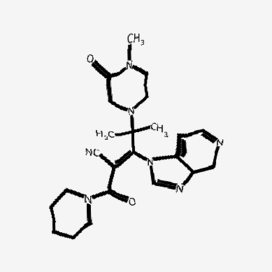 CN1CCN(C(C)(C)C(=C(C#N)C(=O)N2CCCCC2)N2C=NC3CN=CC=C32)CC1=O